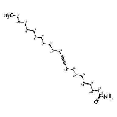 CCCCCCCCCCCCC#CCCCCCCCCC(N)=O